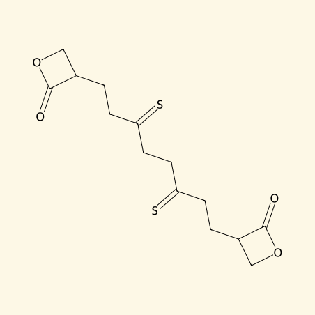 O=C1OCC1CCC(=S)CCC(=S)CCC1COC1=O